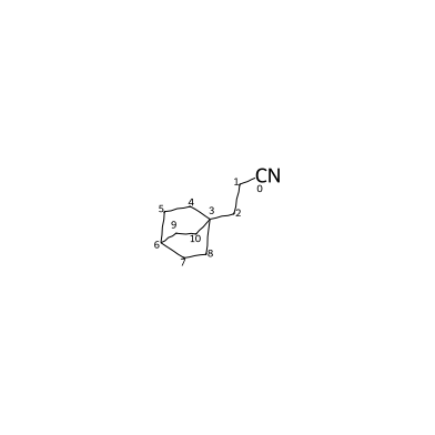 N#CCCC12CCC(CC1)CC2